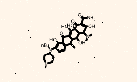 CCCCN(c1ccc2c(c1O)C(=O)C1=C(O)C3(O)C(=O)C(C(N)=O)=C(O)C(N(C)C)C3C(O)C1C2C)C1CCN(C)CC1